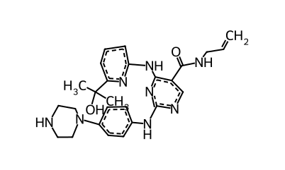 C=CCNC(=O)c1cnc(Nc2ccc(N3CCNCC3)cc2)nc1Nc1cccc(C(C)(C)O)n1